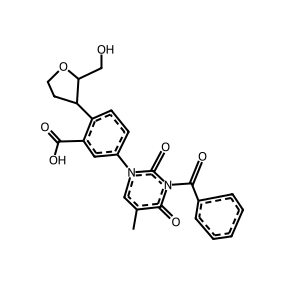 Cc1cn(-c2ccc(C3CCOC3CO)c(C(=O)O)c2)c(=O)n(C(=O)c2ccccc2)c1=O